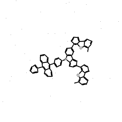 Cc1cccc2c1oc1c(-c3ccc4c(c3)c3cc(-c5cccc6c5oc5c(C)cccc56)ccc3n4-c3ccc(-c4c5ccccc5c(-c5ccccc5)c5ccccc45)cc3)cccc12